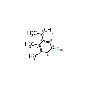 CC1=C(C)C(C(C)C)=CC(F)C1